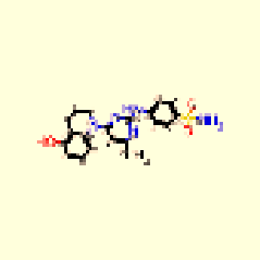 Cc1cc(N2CCCc3c(O)cccc32)nc(Nc2ccc(S(N)(=O)=O)cc2)n1